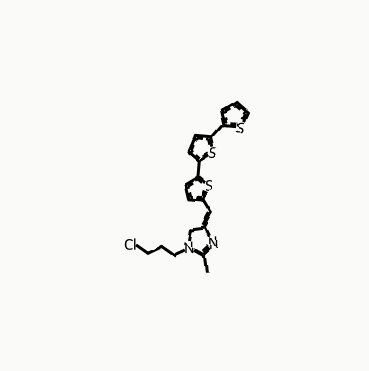 CC1=N/C(=C/c2ccc(-c3ccc(-c4cccs4)s3)s2)CN1CCCCl